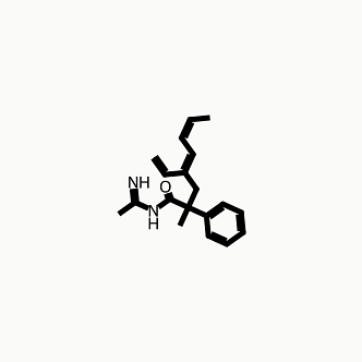 C=C/C(=C\C=C/C)CC(C)(C(=O)NC(C)=N)c1ccccc1